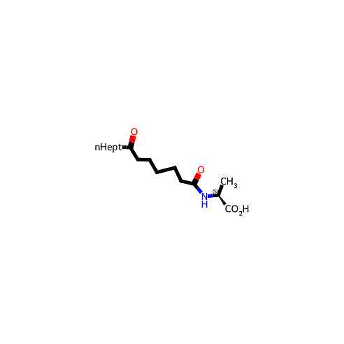 CCCCCCCC(=O)CCCCCC(=O)N[C@@H](C)C(=O)O